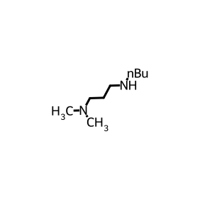 CCCCNCCCN(C)C